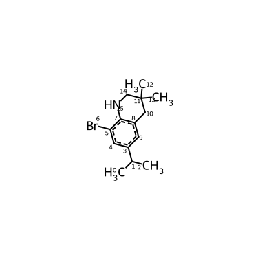 CC(C)c1cc(Br)c2c(c1)CC(C)(C)CN2